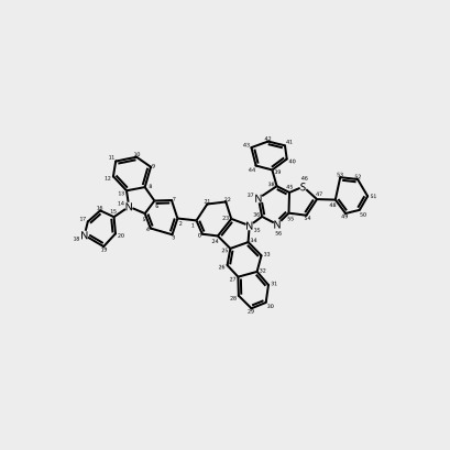 C1=C(c2ccc3c(c2)c2ccccc2n3-c2ccncc2)CCc2c1c1cc3ccccc3cc1n2-c1nc(-c2ccccc2)c2sc(-c3ccccc3)cc2n1